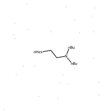 [CH2]CCCCCCCN(CCCC)CCCC